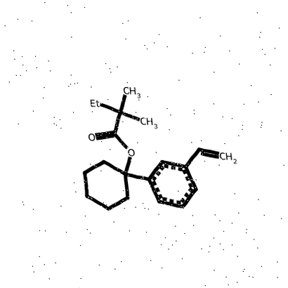 C=Cc1cccc(C2(OC(=O)C(C)(C)CC)CCCCC2)c1